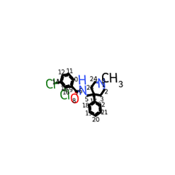 CN1CCC(CNC(=O)c2cccc(Cl)c2Cl)(c2ccccc2)CC1